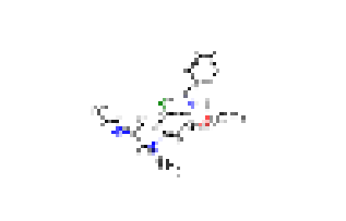 COC(=O)CN(Cc1ccccc1)c1c(OC)cc2c(c1F)CC(NCCC(C)C)CN2C